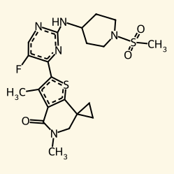 Cc1c(-c2nc(NC3CCN(S(C)(=O)=O)CC3)ncc2F)sc2c1C(=O)N(C)CC21CC1